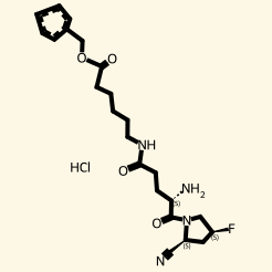 Cl.N#C[C@@H]1C[C@H](F)CN1C(=O)[C@@H](N)CCC(=O)NCCCCCC(=O)OCc1ccccc1